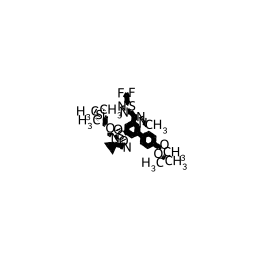 Cn1nc(-c2nnc(C(F)F)s2)c2cc(S(=O)(=O)N(COCC[Si](C)(C)C)C3(C#N)CC3)cc(C3=CCC(C(=O)OC(C)(C)C)CC3)c21